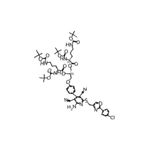 CC(C)(C)OC(=O)NCCCC(NC(=O)OC(C)(C)C)C(=O)O[C@H](COC(=O)[C@H](CCCNC(=O)OC(C)(C)C)NC(=O)OC(C)(C)C)COc1ccc(-c2c(C#N)c(N)nc(SCc3coc(-c4ccc(Cl)cc4)n3)c2C#N)cc1